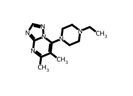 CCN1CCN(c2c(C)c(C)nc3ncnn23)CC1